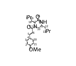 COc1ccc(C=CC(=O)N2C[C@H](CC(C)C)NC(=O)[C@@H]2CC(C)C)cc1